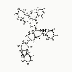 N=C(NC(NCc1c2ccccc2cc2c1ccc1ccccc12)c1ccc(-c2ccc3sc4ccccc4c3c2)cc1)c1ccccc1